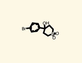 O=S1(=O)CCC(O)(c2ccc(Br)cc2)CC1